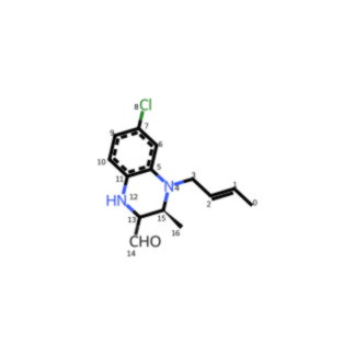 CC=CCN1c2cc(Cl)ccc2NC(C=O)[C@@H]1C